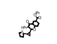 CCCc1c(C2CC2c2cccs2)oc2ccc(C(=O)OC(C)C)cc2c1=O